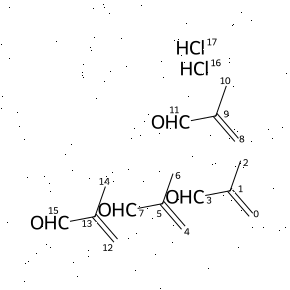 C=C(C)C=O.C=C(C)C=O.C=C(C)C=O.C=C(C)C=O.Cl.Cl